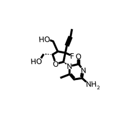 CC#CC1(F)C(CO)[C@@H](CO)O[C@H]1n1c(C)cc(N)nc1=O